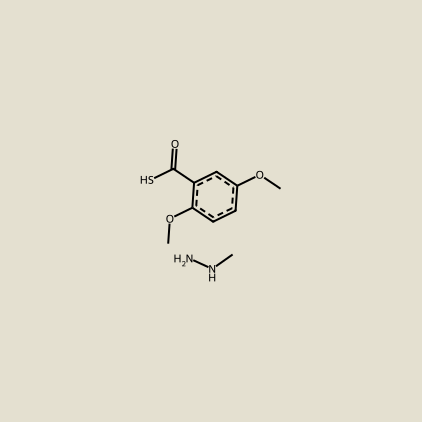 CNN.COc1ccc(OC)c(C(=O)S)c1